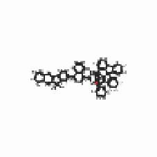 CC1(C)c2cc(-c3ccc(-c4nc(-c5ccccc5)cc(-c5cccc6c5C(c5ccccc5)(c5ccccc5)c5ccccc5-6)n4)c4ccccc34)ccc2-c2cc3ccccc3cc21